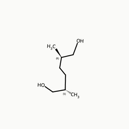 C[C@H](CO)CC[C@@H](C)CO